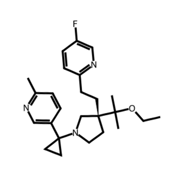 CCOC(C)(C)[C@]1(CCc2ccc(F)cn2)CCN(C2(c3ccc(C)nc3)CC2)C1